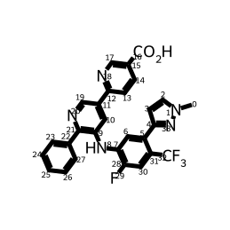 Cn1ccc(-c2cc(Nc3cc(-c4ccc(C(=O)O)cn4)cnc3-c3ccccc3)c(F)cc2C(F)(F)F)n1